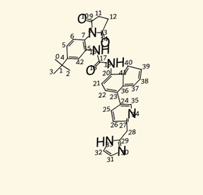 CC(C)(C)c1ccc(N2C(=O)CCC2=O)c(NC(=O)Nc2ccc(-c3ccc(Cc4ncc[nH]4)nc3)c3ccccc23)c1